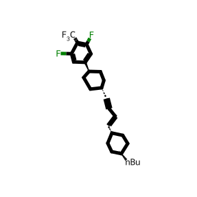 CCCC[C@H]1CC[C@H](C=CC#C[C@H]2CC[C@H](c3cc(F)c(C(F)(F)F)c(F)c3)CC2)CC1